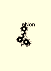 CCCCCCCCCC1CCC(CCC(Oc2cc(F)c(F)c(F)c2)c2ccccc2)CC1